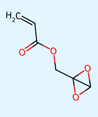 C=CC(=O)OCC12OC1O2